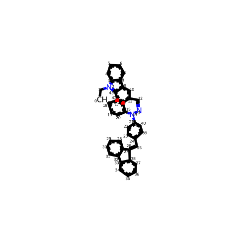 CCn1c2ccccc2c2cc(/C=N\N(c3ccccc3)c3ccc(C=C4c5ccccc5-c5ccccc54)cc3)ccc21